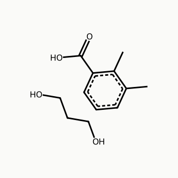 Cc1cccc(C(=O)O)c1C.OCCCO